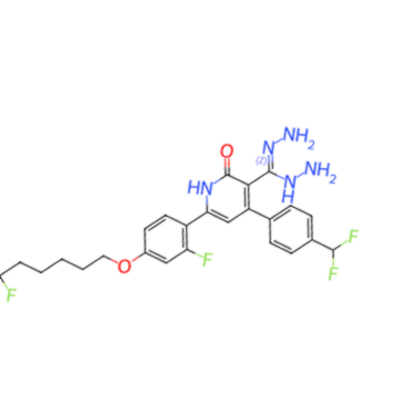 N/N=C(\NN)c1c(-c2ccc(C(F)F)cc2)cc(-c2ccc(OCCCCCC(F)(F)F)cc2F)[nH]c1=O